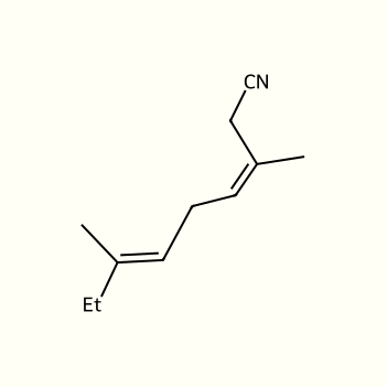 CC/C(C)=C/C/C=C(/C)CC#N